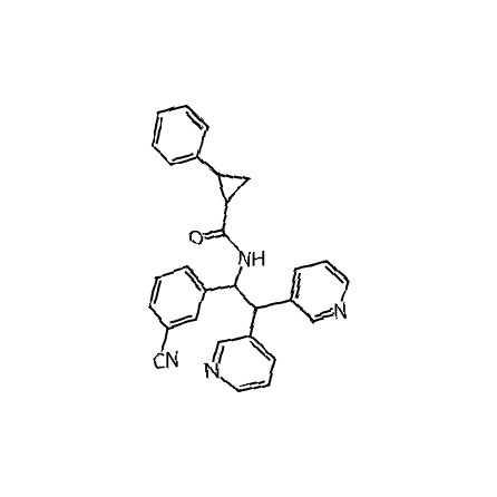 N#Cc1cccc(C(NC(=O)C2CC2c2ccccc2)C(c2cccnc2)c2cccnc2)c1